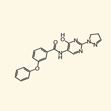 O=C(Nc1cnc(N2CCC=N2)nc1O)c1cccc(Oc2ccccc2)c1